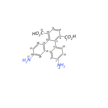 Nc1ccc(-c2c(C(=O)O)ccc(C(=O)O)c2-c2ccc(N)cc2)cc1